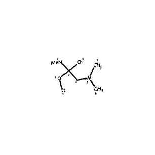 CCOC([O])(CN(C)C)NC